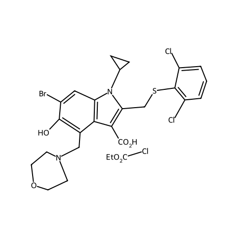 CCOC(=O)Cl.O=C(O)c1c(CSc2c(Cl)cccc2Cl)n(C2CC2)c2cc(Br)c(O)c(CN3CCOCC3)c12